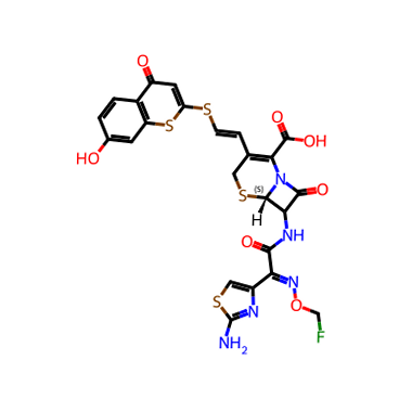 Nc1nc(C(=NOCF)C(=O)NC2C(=O)N3C(C(=O)O)=C(C=CSc4cc(=O)c5ccc(O)cc5s4)CS[C@@H]23)cs1